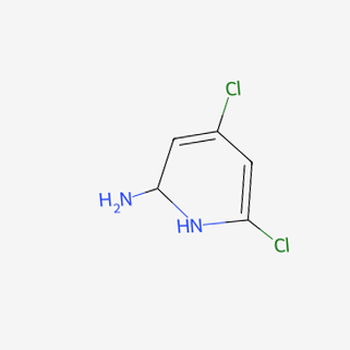 NC1C=C(Cl)C=C(Cl)N1